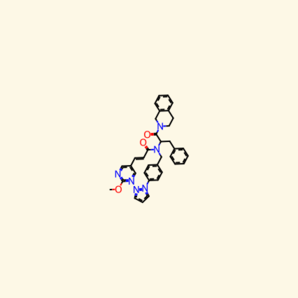 COc1ncc(C=CC(=O)N(Cc2ccc(-n3cccn3)cc2)C(Cc2ccccc2)C(=O)N2CCc3ccccc3C2)cn1